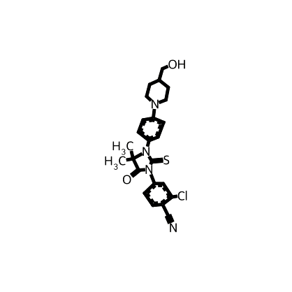 CC1(C)C(=O)N(c2ccc(C#N)c(Cl)c2)C(=S)N1c1ccc(N2CCC(CO)CC2)cc1